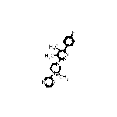 Cc1c(-c2ccc(F)cc2)nnc(N2CCN(c3cnccn3)[C@H](C)C2)c1C